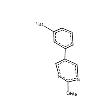 COc1ncc(-c2cccc(O)c2)cn1